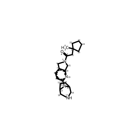 CC1(CC(=O)N2Cc3ccc(N4C5CCC4CNC5)nc3C2)CCCC1